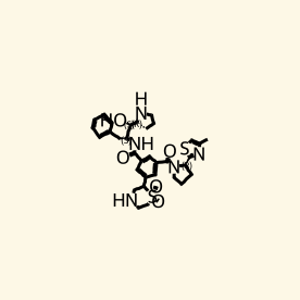 Cc1csc([C@H]2CCCN2C(=O)c2cc(C(=O)N[C@@H](Cc3ccccc3)[C@@H](O)[C@H]3CCCN3)cc(C3CNCCS3(=O)=O)c2)n1